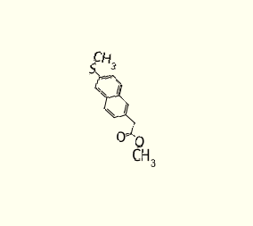 COC(=O)Cc1ccc2cc(SC)ccc2c1